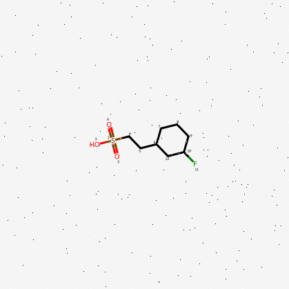 O=S(=O)(O)CCC1CCCC(F)C1